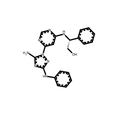 Nc1nc(Nc2ccccc2)nn1-c1cc(N[C@@H](CO)c2ccccc2)ncn1